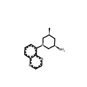 C[C@H]1C[C@@H](N)CN(c2cccc3nccnc23)C1